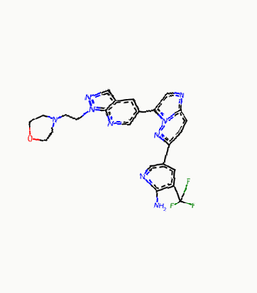 Nc1ncc(-c2ccc3ncc(-c4cnc5c(cnn5CCN5CCOCC5)c4)n3n2)cc1C(F)(F)F